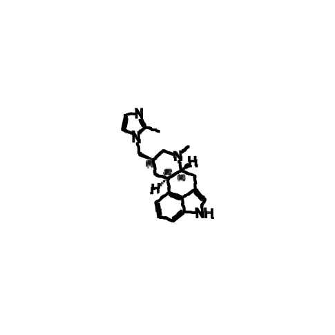 Cc1nccn1C[C@@H]1C[C@@H]2c3cccc4[nH]cc(c34)C[C@H]2N(C)C1